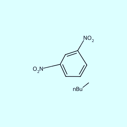 CCCCC.O=[N+]([O-])c1cccc([N+](=O)[O-])c1